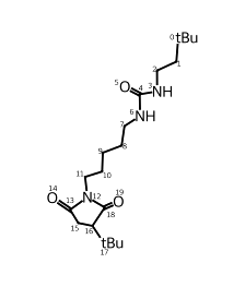 CC(C)(C)CCNC(=O)NCCCCCN1C(=O)CC(C(C)(C)C)C1=O